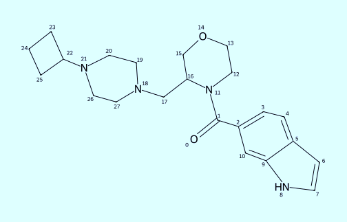 O=C(c1ccc2cc[nH]c2c1)N1CCOCC1CN1CCN(C2CCC2)CC1